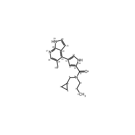 CCCN(CC1CC1)C(=O)c1cc(-c2c(F)cnc3[nH]ccc23)c[nH]1